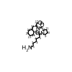 NCCCCCC(=O)N1CCC[C@H]1C(=O)N[C@H]([C]=O)CC1CCCCC1